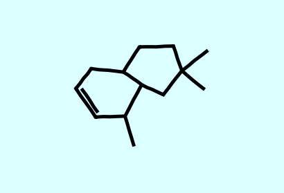 CC1C=CCC2CCC(C)(C)CC12